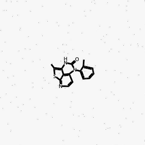 Cc1ccccc1N1C(=O)Nc2c(C)sc3nccc1c23